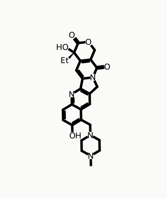 CC[C@@]1(O)C(=O)OCc2c1cc1n(c2=O)Cc2cc3c(CN4CCN(C)CC4)c(O)ccc3nc2-1